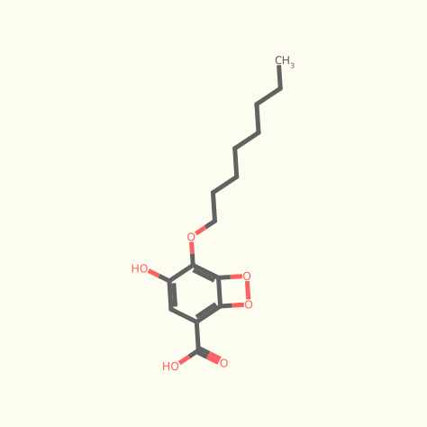 CCCCCCCCOc1c(O)cc(C(=O)O)c2ooc12